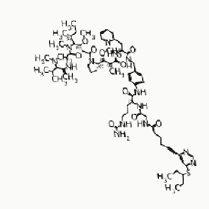 C=C(NCC(=O)N(C)C([C@@H](C)CC)[C@@H](CC(=O)N1CCC[C@H]1[C@H](OC)[C@@H](C)C(=O)N[C@@H](Cc1ccccn1)C(=O)NCc1ccc(NC(=O)[C@H](CCCNC(N)=O)NC(=O)CNC(=O)CCCC#Cc2cc(SC(CC)CC)ncn2)cc1)OC)C(C(C)C)N(C)C